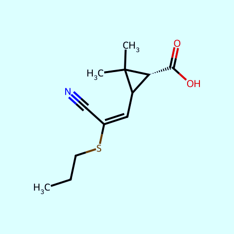 CCCS/C(C#N)=C/C1[C@@H](C(=O)O)C1(C)C